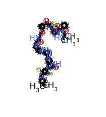 CN[C@@H](C)C(=O)N[C@H](C(=O)N1CCC[C@H]1c1nc(C(=O)c2cccc(OCCNC(=O)CN3CC[C@]4(CCN(c5cc(N6CCC7(CC6)CN(c6cc(F)c(CN8CCC(C)(C)CC8)cc6F)CC(=O)N7)ncn5)C4)C3)c2)cs1)C1CCCCC1